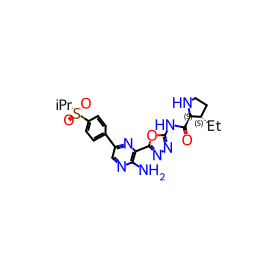 CC[C@H]1CCN[C@@H]1C(=O)Nc1nnc(-c2nc(-c3ccc(S(=O)(=O)C(C)C)cc3)cnc2N)o1